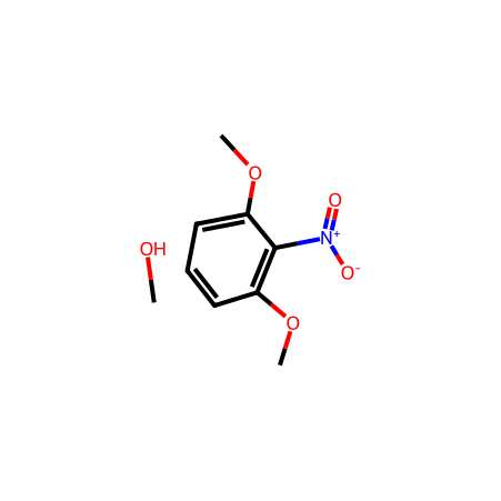 CO.COc1cccc(OC)c1[N+](=O)[O-]